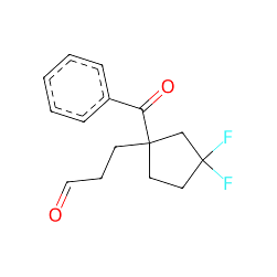 O=CCCC1(C(=O)c2ccccc2)CCC(F)(F)C1